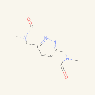 CN(C=O)Cc1ccc(CN(C)C=O)nn1